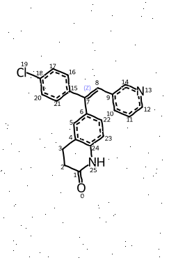 O=C1CCc2cc(/C(=C\c3cccnc3)c3ccc(Cl)cc3)ccc2N1